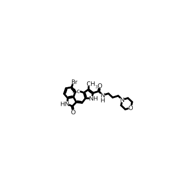 CC(=O)c1c(C=C2C(=O)Nc3ccc(Br)cc32)[nH]c(C(=O)NCCCN2CCOCC2)c1C